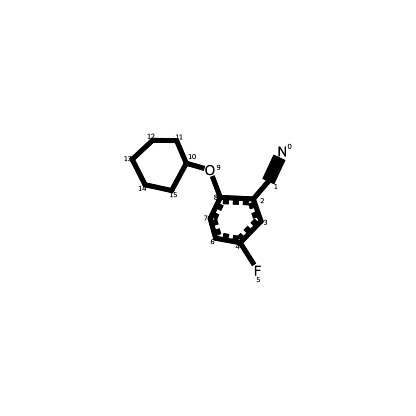 N#Cc1cc(F)ccc1OC1CCCCC1